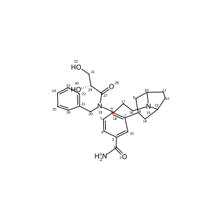 NC(=O)c1cccc(C2CC3CCC(C2)N3CCCN(Cc2ccccc2)C(=O)[C@H](O)CO)c1